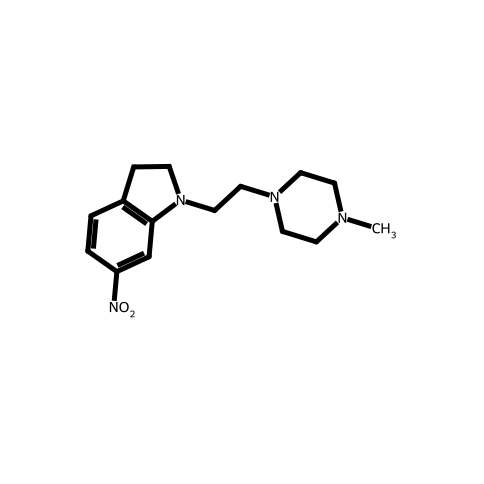 CN1CCN(CCN2CCc3ccc([N+](=O)[O-])cc32)CC1